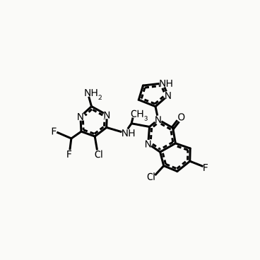 CC(Nc1nc(N)nc(C(F)F)c1Cl)c1nc2c(Cl)cc(F)cc2c(=O)n1-c1cc[nH]n1